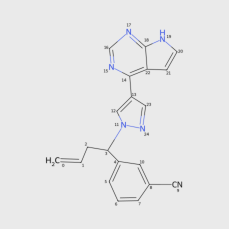 C=CCC(c1cccc(C#N)c1)n1cc(-c2ncnc3[nH]ccc23)cn1